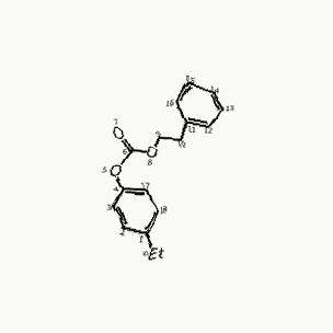 CCc1ccc(OC(=O)OCCc2ccccc2)cc1